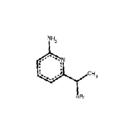 CCCC(C)c1cccc(N)n1